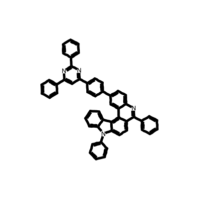 c1ccc(-c2cc(-c3ccc(-c4ccc5nc(-c6ccccc6)c6ccc7c(c8ccccc8n7-c7ccccc7)c6c5c4)cc3)nc(-c3ccccc3)n2)cc1